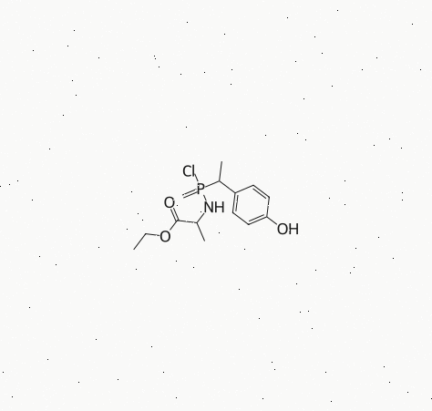 C=P(Cl)(NC(C)C(=O)OCC)C(C)c1ccc(O)cc1